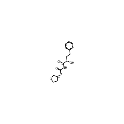 O=C(N[C@@H](Cl)C(O)CCc1ccccc1)O[C@H]1CCOC1